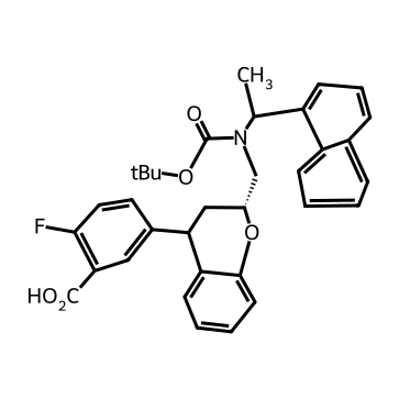 CC(c1cccc2ccccc12)N(C[C@H]1CC(c2ccc(F)c(C(=O)O)c2)c2ccccc2O1)C(=O)OC(C)(C)C